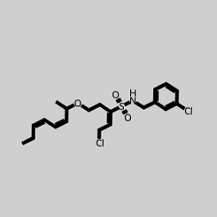 CC/C=C\C=C/C(C)OCC/C(=C\CCl)S(=O)(=O)NCc1cccc(Cl)c1